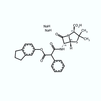 CC1(C)S[C@@H]2[C@H](NC(=O)C(C(=O)Oc3ccc4c(c3)CCC4)c3ccccc3)C(=O)N2[C@H]1C(=O)O.[NaH].[NaH]